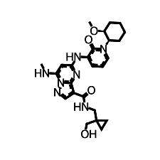 CNc1cc(Nc2cccn([C@@H]3CCCC[C@@H]3OC)c2=O)nc2c(C(=O)NCC3(CO)CC3)cnn12